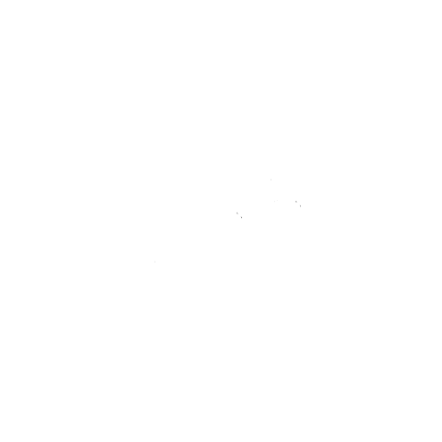 COc1cccc(-c2cccc(C(=O)N(C)C)n2)c1